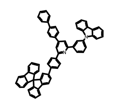 c1ccc(-c2ccc(-c3cc(-c4ccc(-c5ccc6c(c5)C5(c7ccccc7-c7ccccc75)c5ccccc5-6)cc4)nc(-c4cccc(-n5c6ccccc6c6ccccc65)c4)c3)cc2)cc1